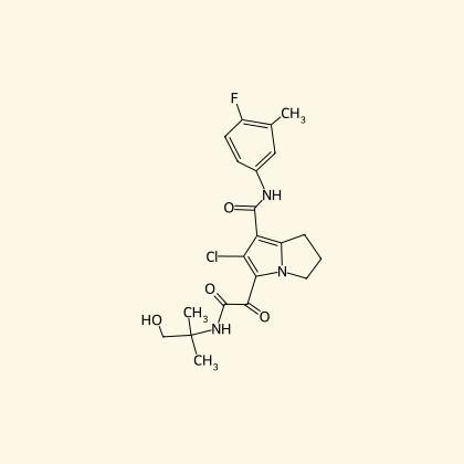 Cc1cc(NC(=O)c2c(Cl)c(C(=O)C(=O)NC(C)(C)CO)n3c2CCC3)ccc1F